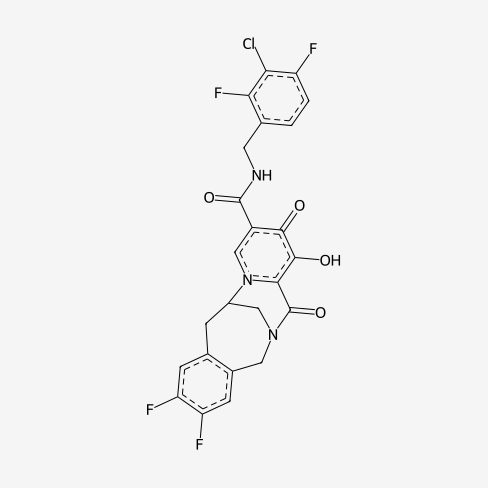 O=C(NCc1ccc(F)c(Cl)c1F)c1cn2c(c(O)c1=O)C(=O)N1Cc3cc(F)c(F)cc3CC2C1